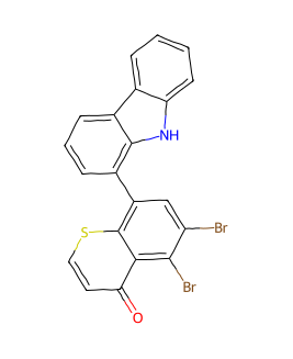 O=c1ccsc2c(-c3cccc4c3[nH]c3ccccc34)cc(Br)c(Br)c12